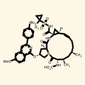 COc1ccc2c(O[C@@H]3C[C@H]4C(=O)N[C@]5(C(=O)NS(=O)(=O)C6(C)CC6)C[C@H]5/C=C\CC[C@@H](C)C[C@@H](C)[C@H](NC(=O)O)C(=O)N4C3)nc(-c3ccc(C(C)(C)C)cc3)cc2c1